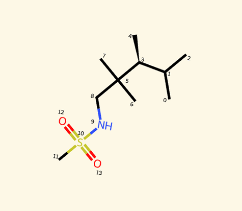 CC(C)[C@H](C)C(C)(C)CNS(C)(=O)=O